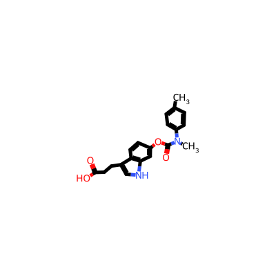 Cc1ccc(N(C)C(=O)Oc2ccc3c(CCC(=O)O)c[nH]c3c2)cc1